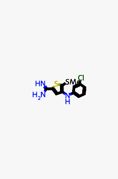 CSc1sc(C(=N)N)cc1Nc1cccc(Cl)c1